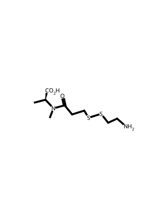 C[C@@H](C(=O)O)N(C)C(=O)CCSSCCN